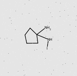 NC1(NI)CCCC1